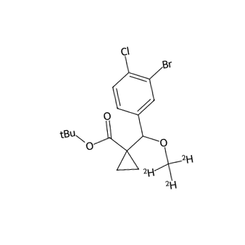 [2H]C([2H])([2H])OC(c1ccc(Cl)c(Br)c1)C1(C(=O)OC(C)(C)C)CC1